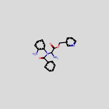 Nc1ccccc1N(C(=O)c1ccccc1)C(N)C(=O)OCc1cccnc1